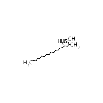 CCCCCCCCCCCCCCCCCC(C)[SiH](C)C